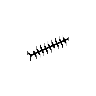 I[C](I)C(I)(I)C(I)(I)C(I)(I)C(I)(I)C(I)(I)C(I)(I)C(I)(I)C(I)(I)C(I)(I)I